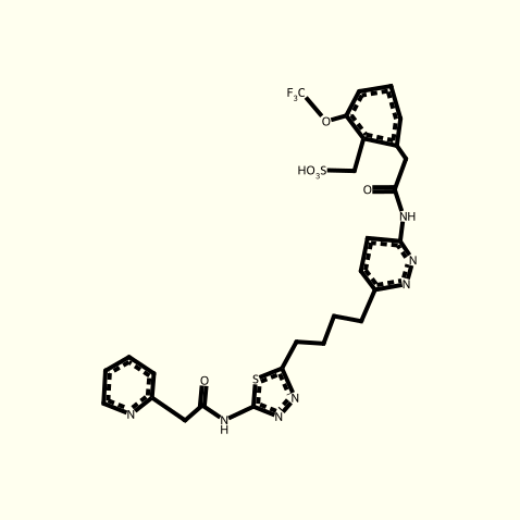 O=C(Cc1cccc(OC(F)(F)F)c1CS(=O)(=O)O)Nc1ccc(CCCCc2nnc(NC(=O)Cc3ccccn3)s2)nn1